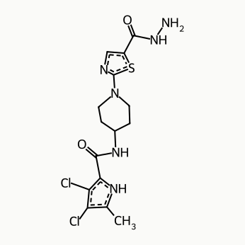 Cc1[nH]c(C(=O)NC2CCN(c3ncc(C(=O)NN)s3)CC2)c(Cl)c1Cl